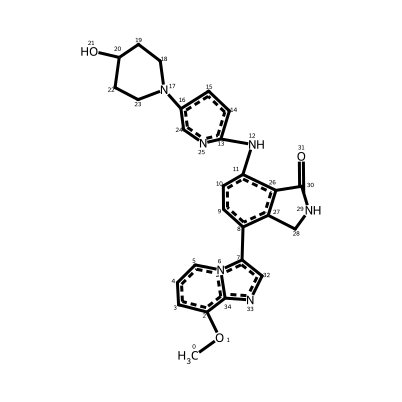 COc1cccn2c(-c3ccc(Nc4ccc(N5CCC(O)CC5)cn4)c4c3CNC4=O)cnc12